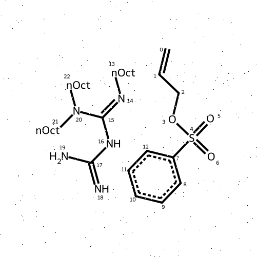 C=CCOS(=O)(=O)c1ccccc1.CCCCCCCCN=C(NC(=N)N)N(CCCCCCCC)CCCCCCCC